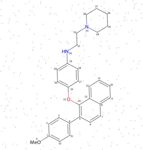 COc1ccc(-c2ccc3ccccc3c2Oc2ccc(NCCN3CCCCC3)cc2)cc1